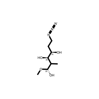 CO[C@@H](O)C(C)[C@@H](O)[C@H](O)CCN=[N+]=[N-]